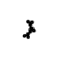 c1ccc(-n2c3ccccc3c3cc(-c4ccc5c(c4)Oc4cc(-c6ccc7c(c6)c6ccccc6n7-c6ccccc6)cc6c4N5c4ccccc4O6)ccc32)cc1